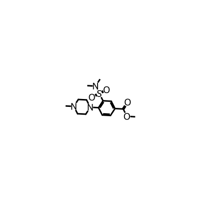 COC(=O)c1ccc(N2CCN(C)CC2)c(S(=O)(=O)N(C)C)c1